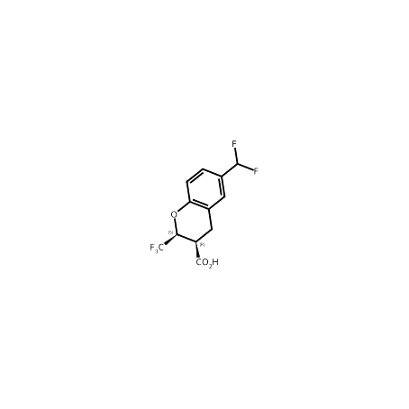 O=C(O)[C@@H]1Cc2cc(C(F)F)ccc2O[C@@H]1C(F)(F)F